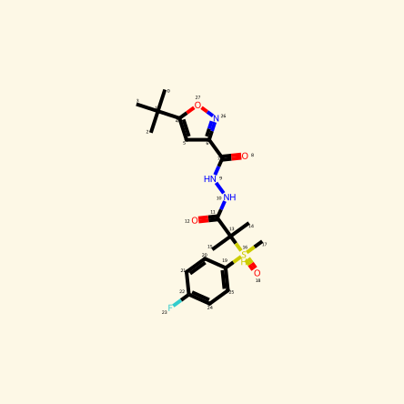 CC(C)(C)c1cc(C(=O)NNC(=O)C(C)(C)[SH](C)(=O)c2ccc(F)cc2)no1